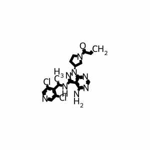 C=CC(=O)N1CC[C@H](n2nc(NC(C)c3c(Cl)cncc3Cl)c3c(N)ncnc32)C1